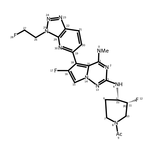 CNc1nc(N[C@H]2CCN(C(C)=O)C[C@H]2F)nn2cc(F)c(-c3ccc4nnn(CCF)c4n3)c12